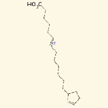 O=C(O)CCCC/C=C/CCCCCCC1C=CCC1